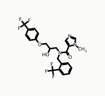 Cn1cncc1C(=O)N(Cc1ccccc1C(F)(F)F)CC(O)COc1ccc(C(F)(F)F)cc1